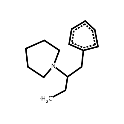 [CH2]CC(Cc1ccccc1)N1CCCCC1